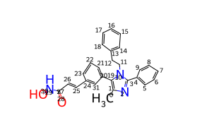 Cc1nc(-c2ccccc2)n(CCc2ccccc2)c1-c1cccc(C=CC(=O)NO)c1